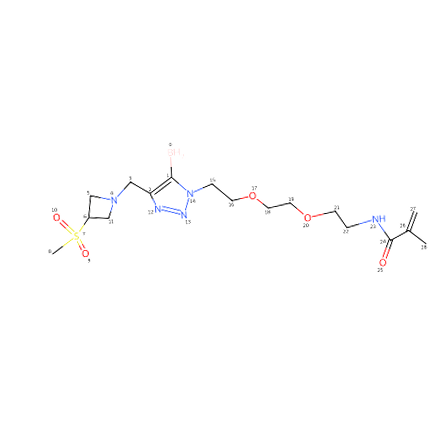 Bc1c(CN2CC(S(C)(=O)=O)C2)nnn1CCOCCOCCNC(=O)C(=C)C